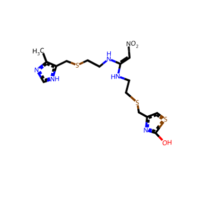 Cc1nc[nH]c1CSCCN/C(=C\[N+](=O)[O-])NCCSCc1csc(O)n1